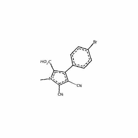 Cn1c(C#N)c(C#N)c(-c2ccc(Br)cc2)c1C(=O)O